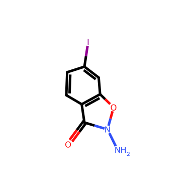 Nn1oc2cc(I)ccc2c1=O